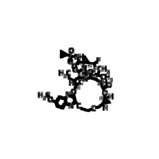 CC[C@@H]1[C@@H]2CN(C(=O)[C@H](C(C)(C)C)NC(=O)O[C@@H]3C[C@H]3CCCCCc3nc4ccc(OC)cc4nc3O2)[C@@H]1C(=O)N[C@]1(C(=O)NS(=O)(=O)C2CC2)C[C@H]1C(F)F